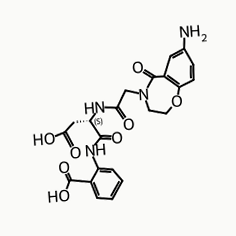 Nc1ccc2c(c1)C(=O)N(CC(=O)N[C@@H](CC(=O)O)C(=O)Nc1ccccc1C(=O)O)CCO2